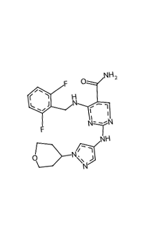 NC(=O)c1cnc(Nc2cnn(C3CCOCC3)c2)nc1NCc1c(F)cccc1F